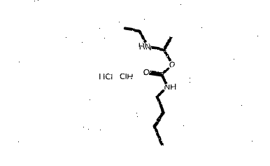 CCCCNC(=O)OC(C)NCC.Cl.Cl